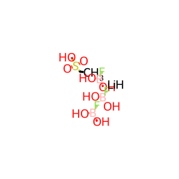 CCS(=O)(=O)O.OB(O)F.OB(O)F.OB(O)F.[LiH]